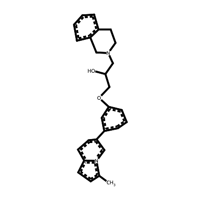 Cc1ccc2ccc(-c3cccc(OCC(O)CN4CCc5ccccc5C4)c3)cn12